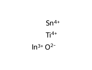 [In+3].[O-2].[Sn+4].[Ti+4]